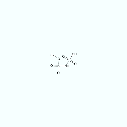 O=S(=O)(O)NS(=O)(=O)OCl